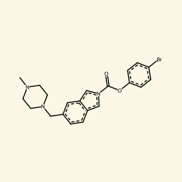 CN1CCN(Cc2ccc3cn(C(=O)Oc4ccc(Br)cc4)cc3c2)CC1